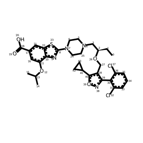 CC[C@H](CN1CCN(c2nc3c(OC(C)C)cc(C(=O)O)cc3s2)CC1)OCc1c(-c2c(Cl)cccc2Cl)noc1C1CC1